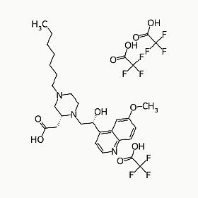 CCCCCCCN1CCN(C[C@H](O)c2ccnc3ccc(OC)cc23)[C@H](CC(=O)O)C1.O=C(O)C(F)(F)F.O=C(O)C(F)(F)F.O=C(O)C(F)(F)F